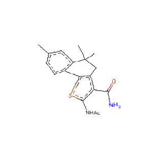 CC(=O)Nc1sc2c(c1C(N)=O)CC(C)(C)c1cc(C)ccc1-2